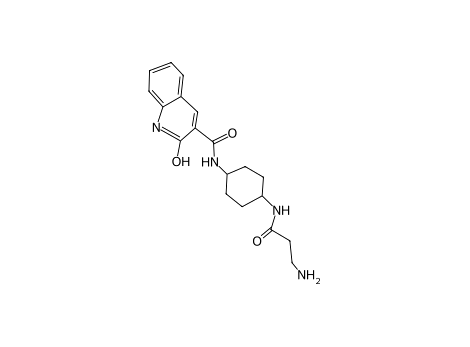 NCCC(=O)NC1CCC(NC(=O)c2cc3ccccc3nc2O)CC1